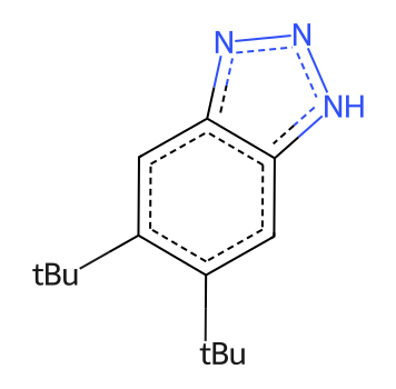 CC(C)(C)c1cc2nn[nH]c2cc1C(C)(C)C